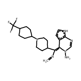 C=N/C(=C1/c2cc[nH]c2N=CN1N)C1CCN(C2CCC(C(F)(F)F)CC2)CC1